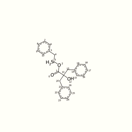 O=C(O[SiH2]Cc1ccccc1)C(O)(Cc1ccccc1)Cc1ccccc1